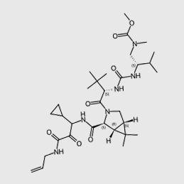 C=CCNC(=O)C(=O)C(NC(=O)[C@@H]1[C@@H]2[C@H](CN1C(=O)[C@@H](NC(=O)N[C@H](CN(C)C(=O)OC)C(C)C)C(C)(C)C)C2(C)C)C1CC1